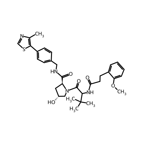 COc1ccccc1CCC(=O)NC(C(=O)N1C[C@H](O)C[C@H]1C(=O)NCc1ccc(-c2scnc2C)cc1)C(C)(C)C